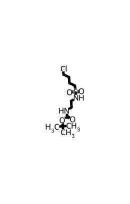 CC(C)(C)OC(=O)NCCNS(=O)(=O)CCCCCl